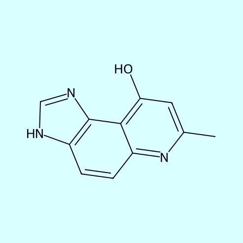 Cc1cc(O)c2c(ccc3[nH]cnc32)n1